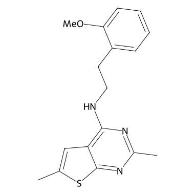 COc1ccccc1CCNc1nc(C)nc2sc(C)cc12